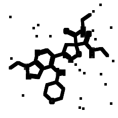 CCNC(=O)C1(C(=O)NCC)CC(c2cnc3c(cnn3CC)c2NC2CCOCC2)=NO1